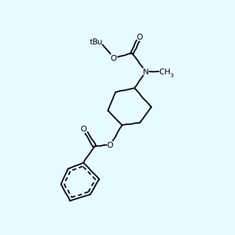 CN(C(=O)OC(C)(C)C)C1CCC(OC(=O)c2ccccc2)CC1